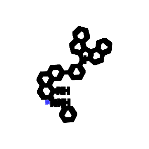 N=C1/C(=N\Nc2ccccc2)C=Cc2ccc3ccc(-c4cccc(-n5c6ccc7ccccc7c6c6c7ccccc7ccc65)c4)cc3c21